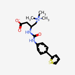 C[N+](C)(C)CC(CC(=O)[O-])NC(=O)Nc1ccc(-c2cccs2)cc1